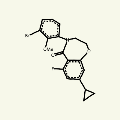 COc1c(Br)cccc1N1CCOc2cc(C3CC3)cc(F)c2C1=O